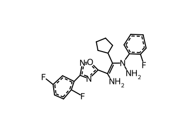 N/C(=C(/C1CCCC1)N(N)c1ccccc1F)c1nc(-c2cc(F)ccc2F)no1